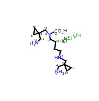 Cl.Cl.Cl.NCC1(CNCCCCN(CC2(CN)CC2)C(=O)O)CC1